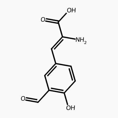 NC(=Cc1ccc(O)c(C=O)c1)C(=O)O